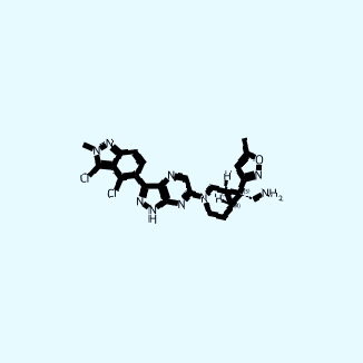 Cc1cc([C@@]2(CN)[C@@H]3CCN(c4cnc5c(-c6ccc7nn(C)c(Cl)c7c6Cl)n[nH]c5n4)C[C@@H]32)no1